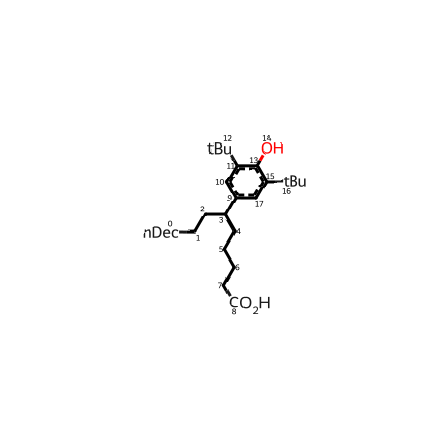 CCCCCCCCCCCCC(CCCCC(=O)O)c1cc(C(C)(C)C)c(O)c(C(C)(C)C)c1